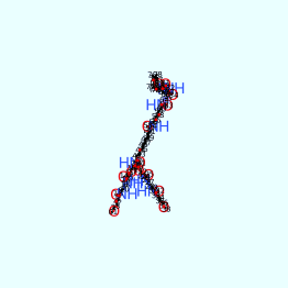 COCCCCC(=O)NCCCNC(=O)CCOCC(COCCC(=O)NCCCNC(=O)CCCCOC)NC(=O)CCCCCCCCCCC(=O)NCCCCCCNC(=O)/C=C/c1cn([C@H]2C[C@H](C)[C@@H](CC(C)(C)C)O2)c(=O)[nH]c1=O